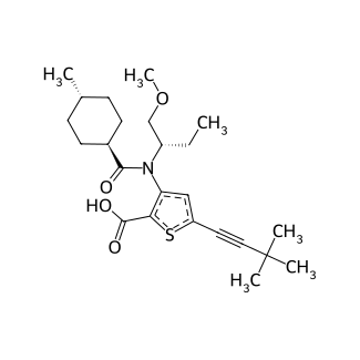 CC[C@@H](COC)N(c1cc(C#CC(C)(C)C)sc1C(=O)O)C(=O)[C@H]1CC[C@H](C)CC1